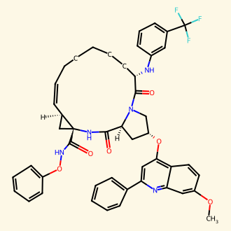 COc1ccc2c(O[C@@H]3C[C@H]4C(=O)N[C@]5(C(=O)NOc6ccccc6)C[C@H]5/C=C\CCCCC[C@H](Nc5cccc(C(F)(F)F)c5)C(=O)N4C3)cc(-c3ccccc3)nc2c1